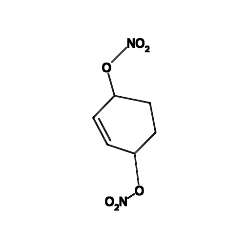 O=[N+]([O-])OC1C=CC(O[N+](=O)[O-])CC1